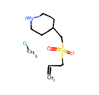 C=CCS(=O)(=O)CC1CCNCC1.CCl